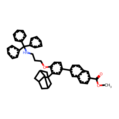 COC(=O)c1ccc2cc(-c3ccc(OCCCNC(c4ccccc4)(c4ccccc4)c4ccccc4)c(C45CC6CC(CC(C6)C4)C5)c3)ccc2c1